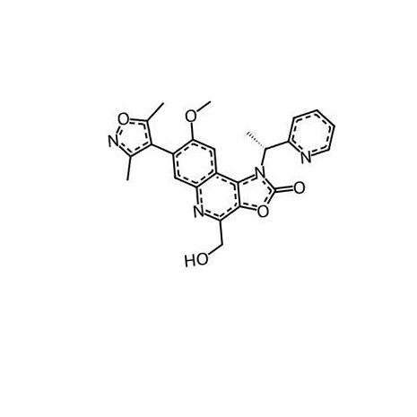 COc1cc2c(cc1-c1c(C)noc1C)nc(CO)c1oc(=O)n([C@H](C)c3ccccn3)c12